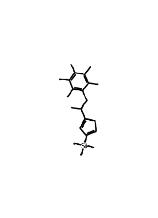 Cc1c(C)c(C)c(CC(C)C2=CC([Si](C)(C)C)=CC2)c(C)c1C